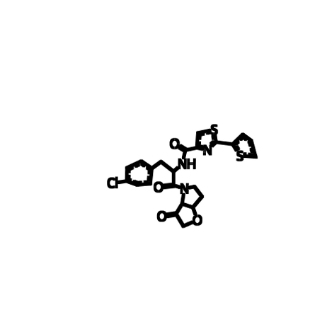 O=C(NC(Cc1ccc(Cl)cc1)C(=O)N1CCC2OCC(=O)C21)c1csc(-c2cccs2)n1